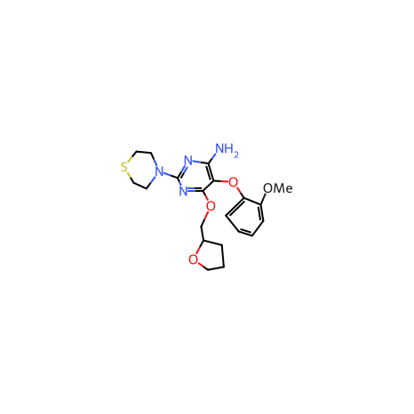 COc1ccccc1Oc1c(N)nc(N2CCSCC2)nc1OCC1CCCO1